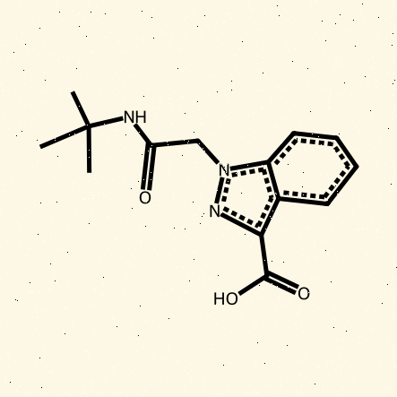 CC(C)(C)NC(=O)Cn1nc(C(=O)O)c2ccccc21